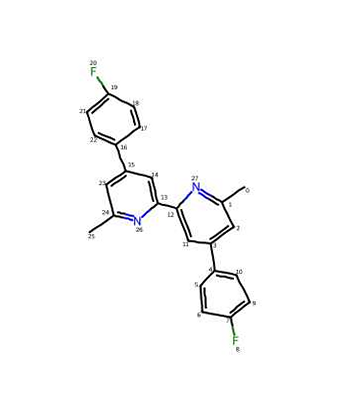 Cc1cc(-c2ccc(F)cc2)cc(-c2cc(-c3ccc(F)cc3)cc(C)n2)n1